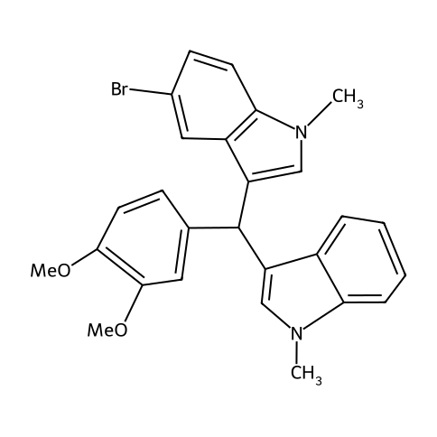 COc1ccc(C(c2cn(C)c3ccccc23)c2cn(C)c3ccc(Br)cc23)cc1OC